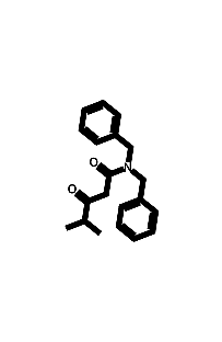 CC(C)C(=O)CC(=O)N(Cc1ccccc1)Cc1ccccc1